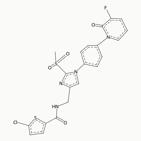 CS(=O)(=O)c1nc(CNC(=O)c2ccc(Cl)s2)cn1-c1ccc(-n2cccc(F)c2=O)cc1